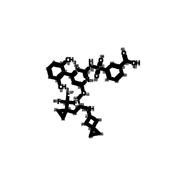 Cc1cccc(C)c1-c1cc(OC[C@@H](CC2(C(F)(F)F)CC2)NC2CC3(CC3)C2)nc(NS(=O)(=O)c2cccc(C(=O)O)c2)n1